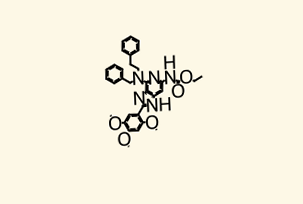 CCOC(=O)Nc1cc2[nH]c(-c3cc(OC)c(OC)cc3OC)nc2c(N(CCc2ccccc2)Cc2ccccc2)n1